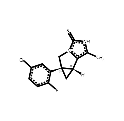 Cc1[nH]c(=S)n2c1[C@@H]1C[C@]1(c1cc(Cl)ccc1F)C2